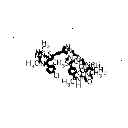 Cc1ncsc1-c1ccc([C@H](C)NC(=O)[C@@H]2COCCN2C(=O)[C@@H](NC(=O)COCCCn2cc(C#Cc3sc4c(c3C)C(c3ccc(Cl)cc3)=N[C@@H](C)c3nnc(C)n3-4)cn2)C(C)(C)C)cc1